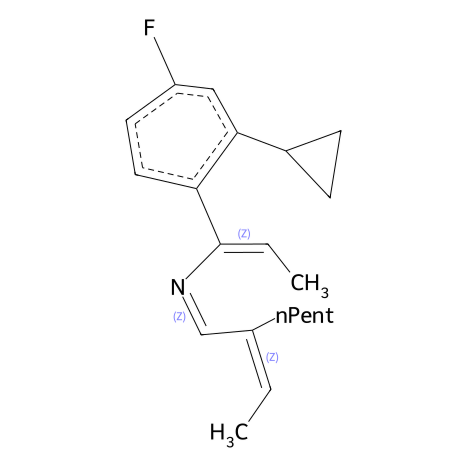 C\C=C(/C=N\C(=C/C)c1ccc(F)cc1C1CC1)CCCCC